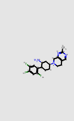 N[C@H]1C[C@@H](N2CCc3cnc(C(F)(F)F)nc3C2)CCC1c1cc(F)c(F)cc1F